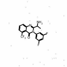 CC(N)c1nc2cccc(C(F)(F)F)c2c(=O)n1-c1cc(F)cc(F)c1